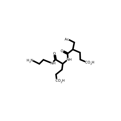 CC(=O)CC(CCC(=O)O)C(=O)NC(CCC(=O)O)C(=O)NCCN